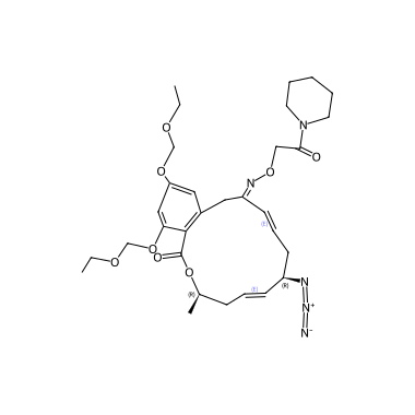 CCOCOc1cc2c(c(OCOCC)c1)C(=O)O[C@H](C)C/C=C/[C@H](N=[N+]=[N-])C/C=C/C(=NOCC(=O)N1CCCCC1)C2